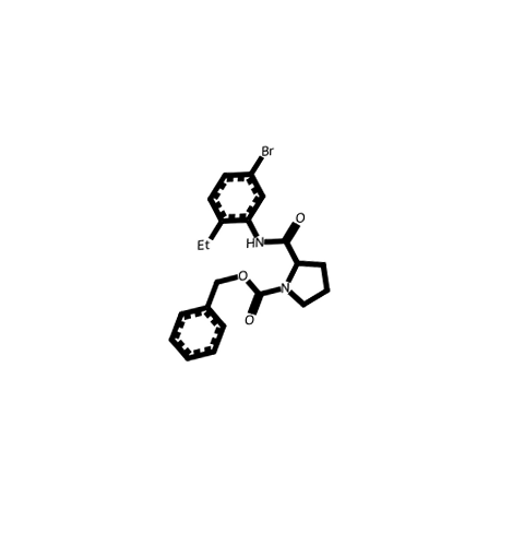 CCc1ccc(Br)cc1NC(=O)C1CCCN1C(=O)OCc1ccccc1